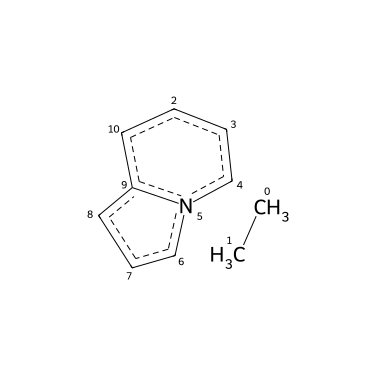 CC.c1ccn2cccc2c1